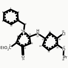 CCOC(=O)c1cn(Cc2ccccc2)c(Nc2ccc(OC(C)C)c(Cl)c2)cc1=O